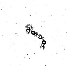 O=C(NO)C1([S+]([O-])c2ccc3nc(N4CCC(Oc5ccc(OC(F)(F)F)cc5)CC4)sc3c2)CCOCC1